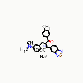 Cc1ccc(C(=O)/C(Cc2cccc(N(C)C)c2)=C(/C(=O)[O-])c2ccc3nsnc3c2)cc1.[Na+]